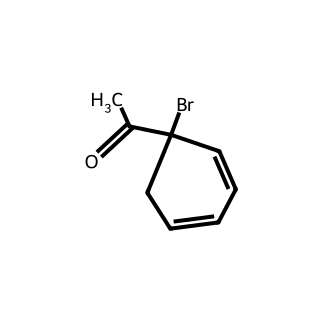 CC(=O)C1(Br)C=CC=CC1